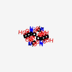 CO[C@H]1C[C@@H](O[C@H]2C[C@@H](C3C[C@H](O[C@@H]4C[C@H](CO)C(N(C)C)[C@H](C)O4)c4c(c5c(=O)c6c(O)ccc(O)c6c(=O)c=5c4=[N+]=[N-])C3=O)C(=O)c3c2c(=[N+]=[N-])c2c(=O)c4c(O)ccc(O)c4c(=O)c3=2)O[C@@H](C)[C@@H]1N(C)C